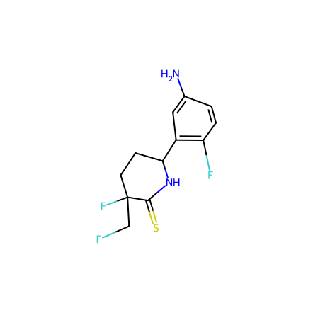 Nc1ccc(F)c(C2CCC(F)(CF)C(=S)N2)c1